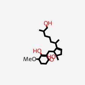 COC1CCC(=O)C(CC2C(C(C)CCCC(C)CO)=CCC2(C)O)=C1O